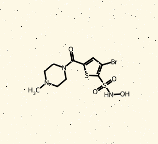 CN1CCN(C(=O)c2cc(Br)c(S(=O)(=O)NO)s2)CC1